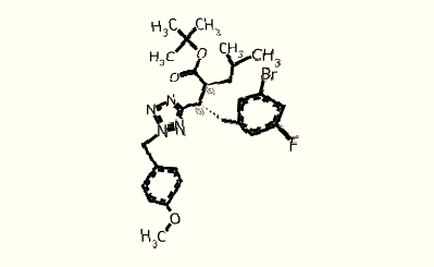 COc1ccc(Cn2nnc([C@@H](Cc3cc(F)cc(Br)c3)[C@H](CC(C)C)C(=O)OC(C)(C)C)n2)cc1